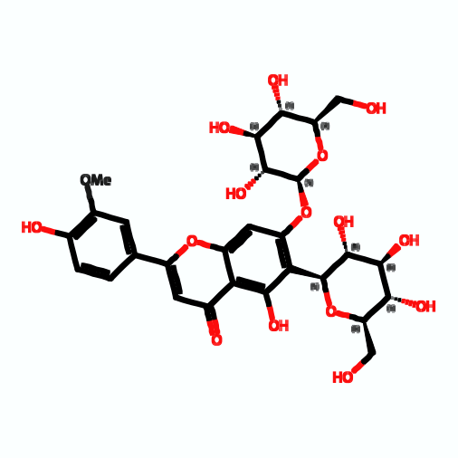 COc1cc(-c2cc(=O)c3c(O)c([C@@H]4O[C@H](CO)[C@@H](O)[C@H](O)[C@H]4O)c(O[C@@H]4O[C@H](CO)[C@@H](O)[C@H](O)[C@H]4O)cc3o2)ccc1O